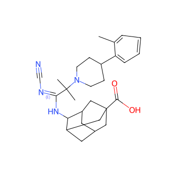 Cc1ccccc1C1CCN(C(C)(C)/C(=N\C#N)NC2C3CC4CC2CC(C(=O)O)(C4)C3)CC1